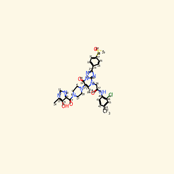 CCc1c(N2CCN(C(=O)c3ncnc(C)c3O)CC2)c(=O)n2nc(-c3ccc([S@@+](C)[O-])cc3)nc2n1CC(=O)Nc1ccc(C(F)(F)F)cc1Cl